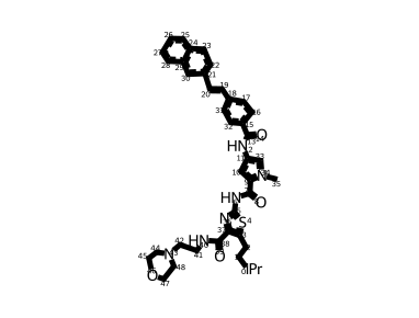 CC(C)CCc1sc(NC(=O)c2cc(NC(=O)c3ccc(/C=C/c4ccc5ccccc5c4)cc3)cn2C)nc1C(=O)NCCN1CCOCC1